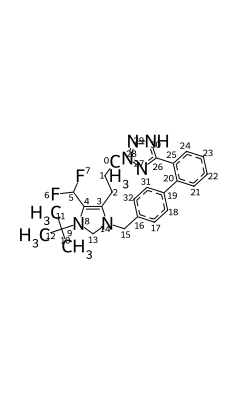 CCCC1=C(C(F)F)N(C(C)(C)C)CN1Cc1ccc(-c2ccccc2-c2nnn[nH]2)cc1